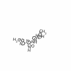 CN1C[C@H]2CCN(c3cccc(Nc4cnc(-c5ccnc6c5ccn6C)c5c4C(=O)NC5)n3)[C@H]2C1